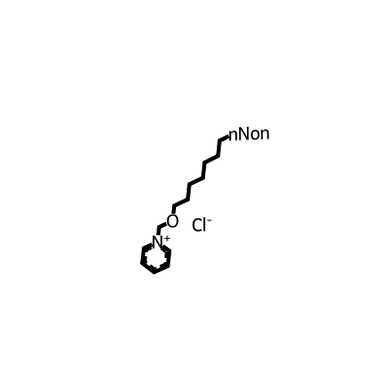 CCCCCCCCCCCCCCCCOC[n+]1ccccc1.[Cl-]